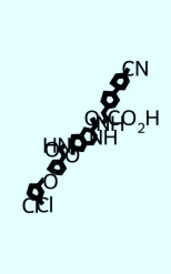 N#Cc1ccc(-c2ccc(C[C@H](NC(=O)C3Cc4cc5c(cc4CN3)OC(c3ccc(OCc4ccc(Cl)c(Cl)c4)cc3)C(=O)N5)C(=O)O)cc2)cc1